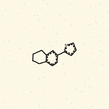 c1csc(-c2ccc3c(c2)CCCC3)c1